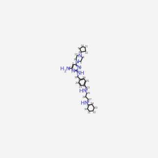 Nc1cc(N2CCN(C3CCCC3)CC2)nc(NCc2ccc(CNCCCNC3CCCCC3)cc2)n1